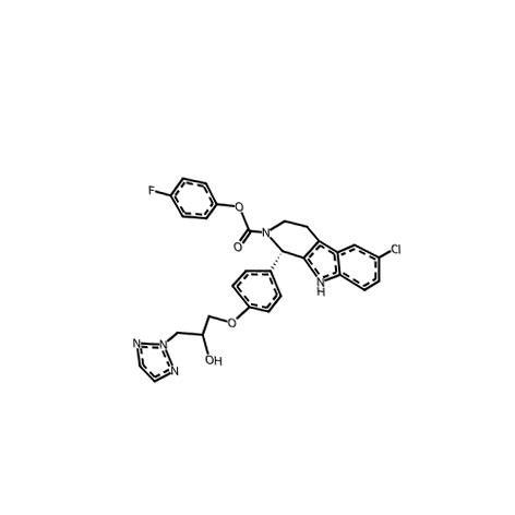 O=C(Oc1ccc(F)cc1)N1CCc2c([nH]c3ccc(Cl)cc23)[C@@H]1c1ccc(OCC(O)Cn2nccn2)cc1